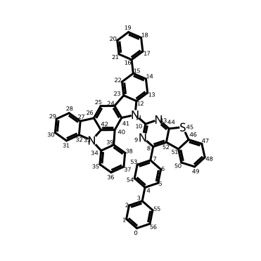 c1ccc(-c2ccc(-c3nc(-n4c5ccc(-c6ccccc6)cc5c5cc6c7ccccc7n7c8ccccc8c(c54)c67)nc4sc5ccccc5c34)cc2)cc1